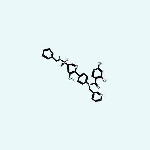 Cc1cc(S(=O)(=O)NCc2ccccc2)cnc1-c1ccc(N(Cc2cccnc2)C(=O)c2ccc(O)cc2O)cc1